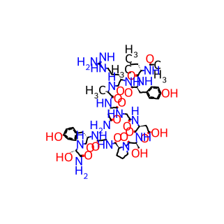 CC(=O)N[C@@H](CC(C)C)C(=O)N[C@@H](Cc1ccc(O)cc1)C(=O)N[C@@H](CCCNC(=N)N)C(=O)N[C@@H](C)C(=O)N[C@@H](CC(N)=O)C(=O)NCC(=O)N[C@@H](CC(=O)O)C(=O)N[C@@H](CO)C(=O)N1CCC[C@H]1C(=O)NCC(=O)N[C@@H](Cc1ccc(O)cc1)C(=O)N[C@@H](CO)C(N)=O